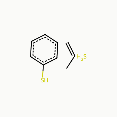 C=CC.S.Sc1ccccc1